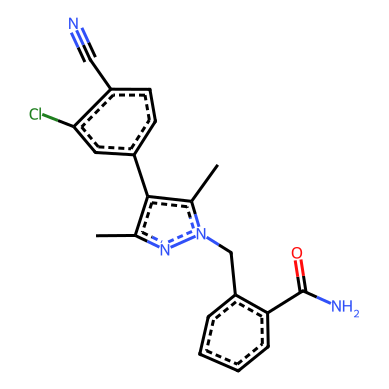 Cc1nn(Cc2ccccc2C(N)=O)c(C)c1-c1ccc(C#N)c(Cl)c1